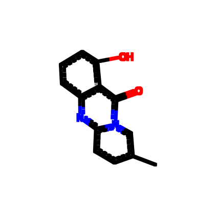 Cc1ccc2nc3cccc(O)c3c(=O)n2c1